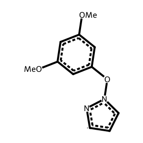 COc1cc(OC)cc(On2cc[c]n2)c1